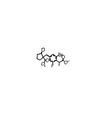 COC(=O)C(C)c1c(F)cc(CC2(C(=O)OC)CCCC2=O)cc1Br